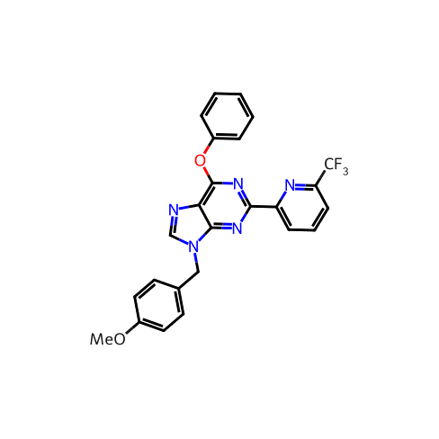 COc1ccc(Cn2cnc3c(Oc4ccccc4)nc(-c4cccc(C(F)(F)F)n4)nc32)cc1